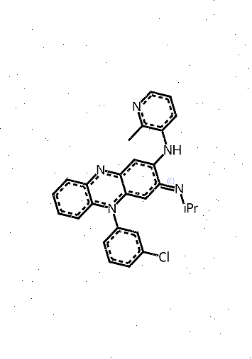 Cc1ncccc1Nc1cc2nc3ccccc3n(-c3cccc(Cl)c3)c-2c/c1=N\C(C)C